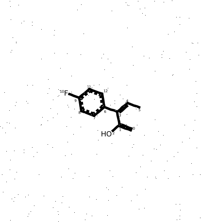 C=C(O)/C(=C\C)c1ccc(F)cc1